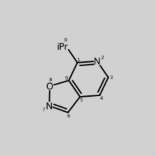 CC(C)c1nccc2cnoc12